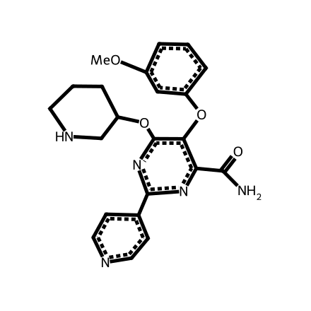 COc1cccc(Oc2c(OC3CCCNC3)nc(-c3ccncc3)nc2C(N)=O)c1